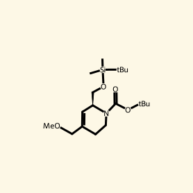 COCC1=C[C@@H](CO[Si](C)(C)C(C)(C)C)N(C(=O)OC(C)(C)C)CC1